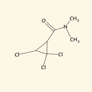 CN(C)C(=O)C1C(Cl)C1(Cl)Cl